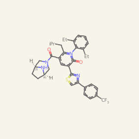 CCc1cccc(CC)c1-n1c(CC(C)C)c(C(=O)N2C[C@H]3CC[C@@H](C2)N3)cc(-c2nc(-c3ccc(C(F)(F)F)cc3)cs2)c1=O